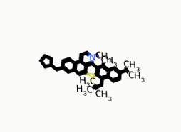 Cc1c2c(c(CC(C)(C)C)c3ccc(C(C)C)cc13)Sc1cc3cc(CC4CCCC4)ccc3c3cc[n+](C)c-2c13